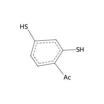 CC(=O)c1ccc(S)cc1S